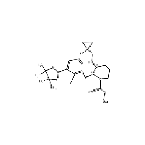 CC(C)(C)OC(=O)N1CCC[C@H](NSC2(F)CC2)[C@@H]1Cc1cccc(B2OC(C)(C)C(C)(C)O2)c1F